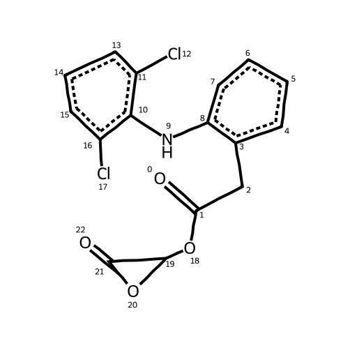 O=C(Cc1ccccc1Nc1c(Cl)cccc1Cl)OC1OC1=O